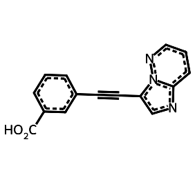 O=C(O)c1cccc(C#Cc2cnc3cccnn23)c1